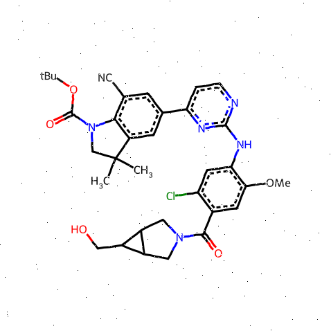 COc1cc(C(=O)N2CC3C(CO)C3C2)c(Cl)cc1Nc1nccc(-c2cc(C#N)c3c(c2)C(C)(C)CN3C(=O)OC(C)(C)C)n1